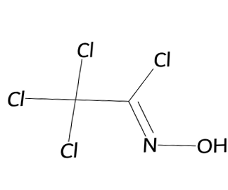 ON=C(Cl)C(Cl)(Cl)Cl